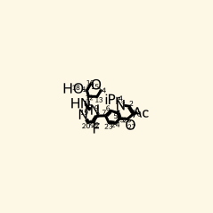 CC(=O)c1cn(C(C)C)c2cc(-c3nc(N[C@@H]4CCOC[C@H]4O)ncc3F)ccc2c1=O